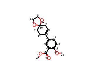 COC(=O)c1cc(C2=CCC3(CC2)OCCO3)ccc1OC